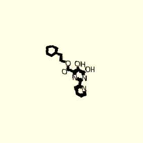 O=C(OCCC1CCCCC1)c1nc(-c2ccccn2)nc(O)c1O